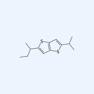 CCC(C)c1cc2sc(C(C)C)cc2s1